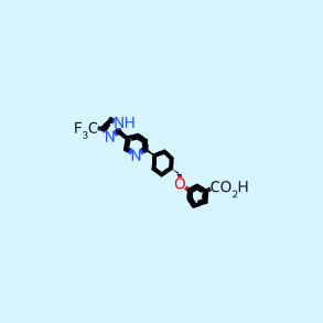 O=C(O)c1cccc(OC[C@H]2CC[C@H](c3ccc(-c4nc(C(F)(F)F)c[nH]4)cn3)CC2)c1